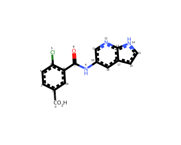 O=C(O)c1ccc(Cl)c(C(=O)Nc2cnc3[nH]ccc3c2)c1